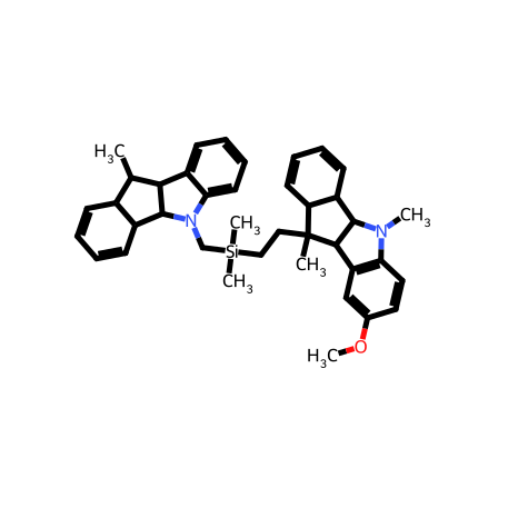 COc1ccc2c(c1)C1C(C3C=CC=CC3C1(C)CC[Si](C)(C)CN1c3ccccc3C3C(C)C4C=CC=CC4C31)N2C